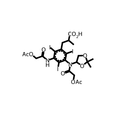 CC(=O)OCC(=O)Nc1c(I)c(CC(C)C(=O)O)c(I)c(N(C(=O)COC(C)=O)C2COC(C)(C)O2)c1I